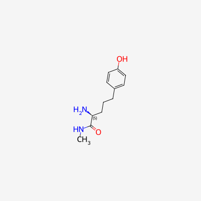 CNC(=O)[C@@H](N)CCCc1ccc(O)cc1